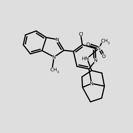 Cn1c(-c2cc(N3C4CCC3CC(NS(C)(=O)=O)C4)ncc2Cl)nc2ccccc21